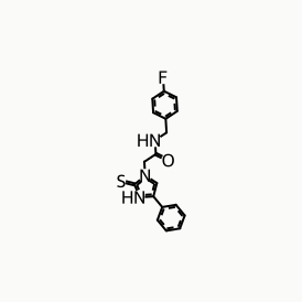 O=C(Cn1cc(-c2ccccc2)[nH]c1=S)NCc1ccc(F)cc1